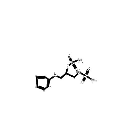 NS(=O)(=O)OCC(COc1ccccc1)OS(N)(=O)=O